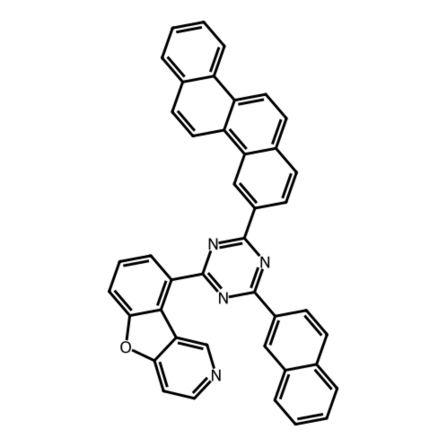 c1ccc2cc(-c3nc(-c4ccc5ccc6c7ccccc7ccc6c5c4)nc(-c4cccc5oc6ccncc6c45)n3)ccc2c1